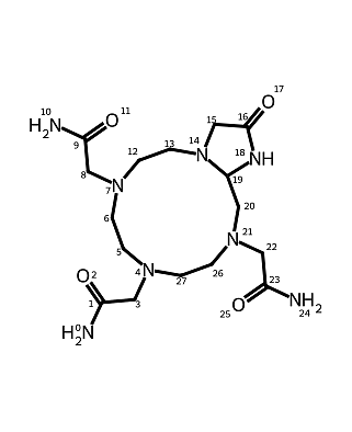 NC(=O)CN1CCN(CC(N)=O)CCN2CC(=O)NC2CN(CC(N)=O)CC1